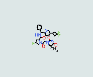 Cc1cn(CC(=O)N2CC(F)CC2C(=O)NC(c2ccccc2)c2ccc(C3CC(F)(F)C3)cn2)c(=O)[nH]c1=O